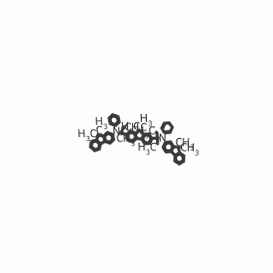 CCC(C)(c1ccc2c(c1)C(C)(C)c1cc(C(CC)(CC)N(C3=CCCC=C3)c3ccc4c(c3)C(C)(C)c3ccccc3-4)ccc1-2)N(c1ccccc1)c1ccc2c(c1)C(C)(C)c1ccccc1-2